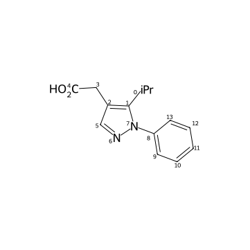 CC(C)c1c(CC(=O)O)cnn1-c1ccccc1